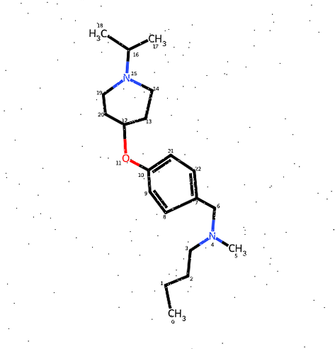 CCCCN(C)Cc1ccc(OC2CCN(C(C)C)CC2)cc1